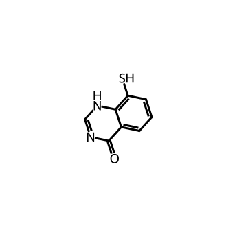 O=c1nc[nH]c2c(S)cccc12